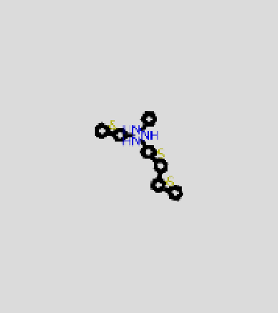 c1ccc(C2NC(c3ccc4c(c3)sc3ccccc34)NC(c3ccc4c(c3)sc3ccc(-c5cccc6c5sc5ccccc56)cc34)N2)cc1